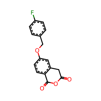 O=C1Cc2cc(OCc3ccc(F)cc3)ccc2C(=O)O1